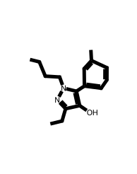 CCCCn1nc(CC)c(O)c1-c1cccc(C)c1